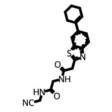 N#CCNC(=O)CNC(=O)Cc1nc2ccc(C3=CCCCC3)cc2s1